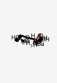 CC(C)N(CC[C@H](c1ccccc1)c1cc(CCCCOCCCCCCNC[C@H](O[Si](C)(C)C(C)(C)C)c2ccc(O)c(NS(C)(=O)=O)c2)ccc1O)C(C)C